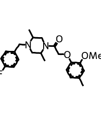 COc1cc(C)ccc1OCC(=O)N1CC(C)N(Cc2ccc(F)cc2)CC1C